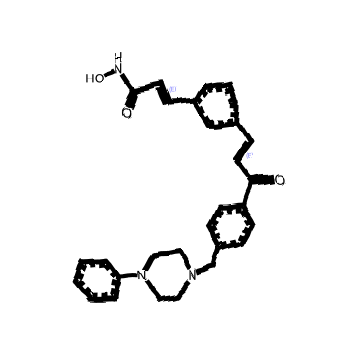 O=C(/C=C/c1cccc(/C=C/C(=O)c2ccc(CN3CCN(c4ccccc4)CC3)cc2)c1)NO